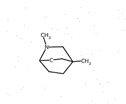 CN1CC2(C)CCC1CC2